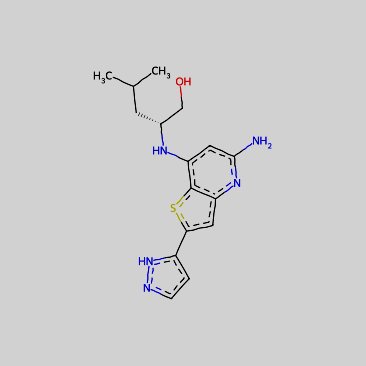 CC(C)C[C@H](CO)Nc1cc(N)nc2cc(-c3ccn[nH]3)sc12